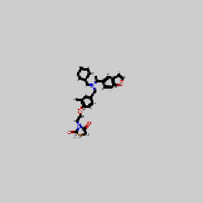 Cc1cc(CN(CC2CCCCC2)C(C)c2ccc3c(c2)CCO3)ccc1OCCN1C(=O)CSC1=O